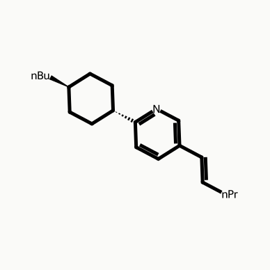 CCC/C=C/c1ccc([C@H]2CC[C@H](CCCC)CC2)nc1